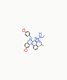 CCNc1nc2c(N(Cc3ccc(OC)cc3)Cc3ccc(OC)cc3)nc3ccccc3c2n1CC(C)C